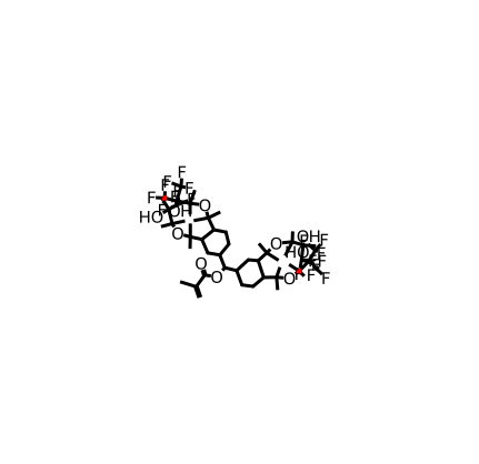 C=C(C)C(=O)OC(C1CCC(C(C)(C)OC(C)(C)C(O)(C(F)(F)F)C(F)(F)F)C(C(C)(C)OC(C)(C)C(C)(O)C(F)(F)F)C1)C1CCC(C(C)(C)OC(C)(C)C(O)(C(F)(F)F)C(F)(F)F)C(C(C)(C)OC(C)(C)C(C)(O)C(F)(F)F)C1